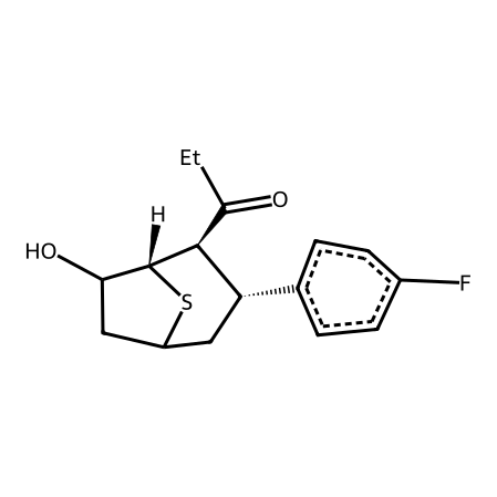 CCC(=O)[C@@H]1[C@@H]2SC(CC2O)C[C@H]1c1ccc(F)cc1